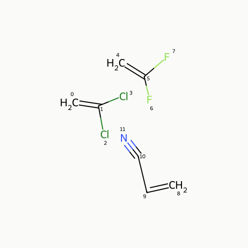 C=C(Cl)Cl.C=C(F)F.C=CC#N